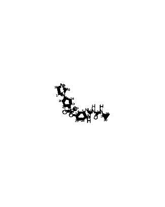 O=C(Nc1nc2cc(OS(=O)(=O)c3ccc(-n4ccnc4)cc3)ccc2[nH]1)NC1CC1